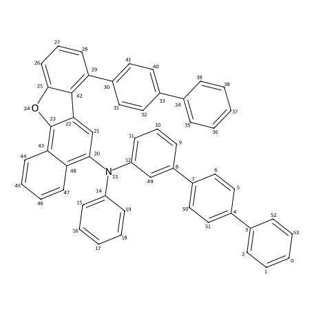 c1ccc(-c2ccc(-c3cccc(N(c4ccccc4)c4cc5c(oc6cccc(-c7ccc(-c8ccccc8)cc7)c65)c5ccccc45)c3)cc2)cc1